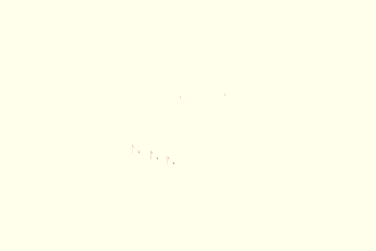 [N-]=[N+]=NC1CCCCCCCCCCC1